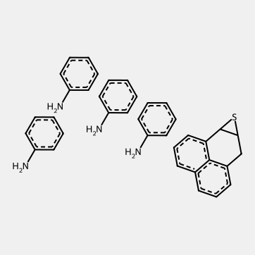 Nc1ccccc1.Nc1ccccc1.Nc1ccccc1.Nc1ccccc1.c1cc2c3c(cccc3c1)C1SC1C2